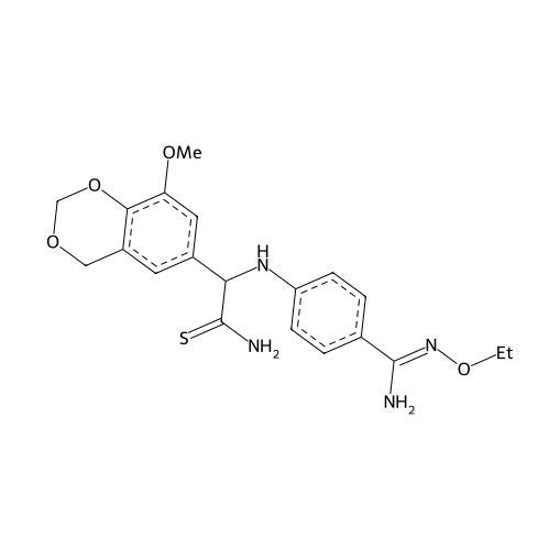 CCO/N=C(\N)c1ccc(NC(C(N)=S)c2cc3c(c(OC)c2)OCOC3)cc1